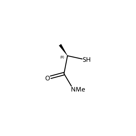 CNC(=O)[C@@H](C)S